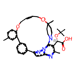 Cc1ccc2c(c1)-c1cccc(c1)-c1cc3nc(C)c([C@H](OC(C)(C)C)C(=O)O)c(n3n1)N1CCC(C)(CC1)OCC=CCO2